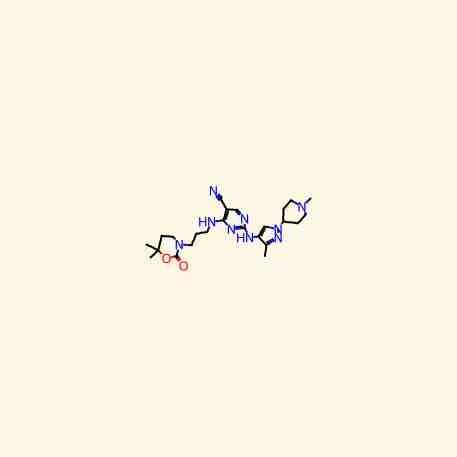 Cc1nn(C2CCN(C)CC2)cc1Nc1ncc(C#N)c(NCCCN2CCC(C)(C)OC2=O)n1